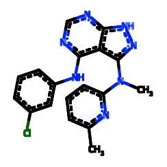 Cc1cccc(N(C)c2n[nH]c3ncnc(Nc4cccc(Cl)c4)c23)n1